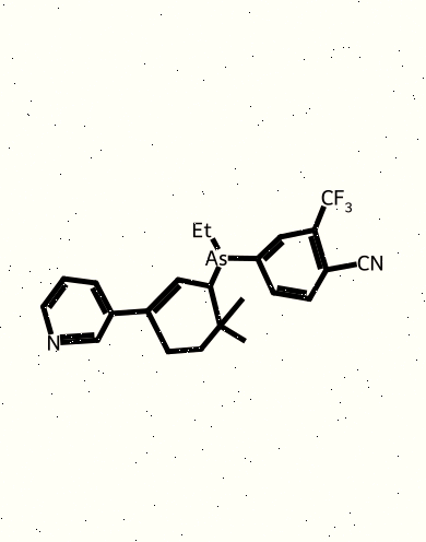 CC[As](c1ccc(C#N)c(C(F)(F)F)c1)C1C=C(c2cccnc2)CCC1(C)C